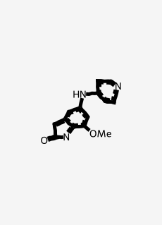 COc1cc(Nc2ccncc2)cc2c1=NC(=O)C=2